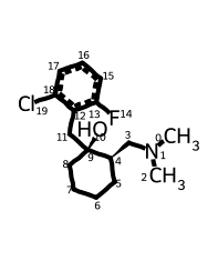 CN(C)C[C@H]1CCCC[C@]1(O)Cc1c(F)cccc1Cl